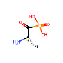 CC(C)[C@H](N)C(=O)P(=O)(O)O